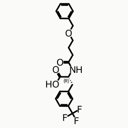 O=C(CCCOCc1ccccc1)N[C@H](Cc1cccc(C(F)(F)F)c1)C(=O)O